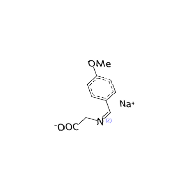 COc1ccc(/C=N\CC(=O)[O-])cc1.[Na+]